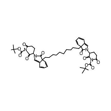 CC(C)(C)OC(=O)N1C(=O)CCC(N2C=C3C=CC=CC3(CCCCCCCCCCC34C=CC=CC3=CN(C3CCC(=O)N(C(=O)OC(C)(C)C)C3=O)C4=O)C2=O)C1=O